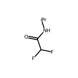 CC(C)NC(=O)C(F)F